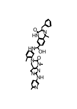 CC1=N[C@H](Cc2ccccc2)C(=O)Nc2cc(C(O)Nc3ccc(C)c(N4Cc5cnc(Nc6ccc(C)nc6)nc5N(C)C4=O)c3)ccc21